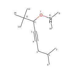 CC(C)CC#CC(O[SiH](C)C)C(C)(C)C